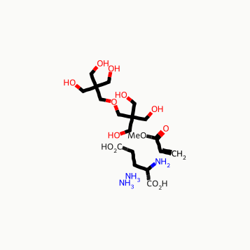 C=CC(=O)OC.N.N.NC(CCC(=O)O)C(=O)O.OCC(CO)(CO)COCC(CO)(CO)CO